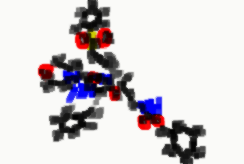 O=C(NCCCC[C@@H](/C=C/S(=O)(=O)c1ccccc1)NC(=O)[C@H](Cc1ccccc1)NC(=O)N1CCOCC1)OCc1ccccc1